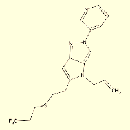 C=CCn1c(CCSCCC(F)(F)F)cc2nn(-c3cccnc3)cc21